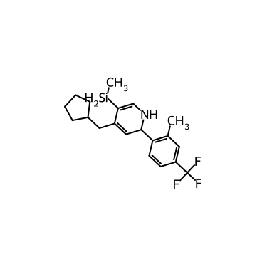 C[SiH2]C1=CNC(c2ccc(C(F)(F)F)cc2C)C=C1CC1CCCC1